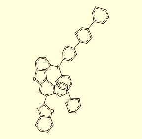 c1ccc(-c2ccc(-c3ccc(N(c4ccc(-c5ccccc5)cc4)c4cccc5oc6cc(-c7nc8ccccc8o7)c7ccccc7c6c45)cc3)cc2)cc1